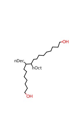 CCCCCCCCCCC(CCCCCCCO)C(CCCCCCCC)CCCCCCCCCO